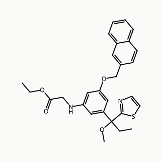 CCOC(=O)CNc1cc(OCc2ccc3ccccc3c2)cc(C(CC)(OC)c2nccs2)c1